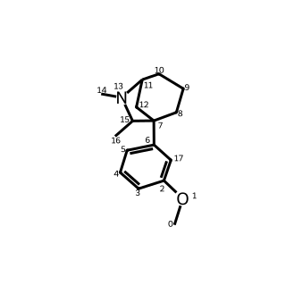 COc1cccc(C23CCCC(C2)N(C)C3C)c1